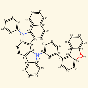 c1ccc(-n2c3ccc4c5ccccc5n(-c5cccc(-c6cccc7oc8ccccc8c67)c5)c4c3c3ccc4ccccc4c32)cc1